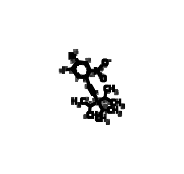 CC(C)[Si](C#Cc1cc(F)c(Br)cc1[N+](=O)[O-])(C(C)C)C(C)C